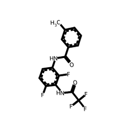 Cc1cccc(C(=O)Nc2ccc(F)c(NC(=O)C(F)(F)F)c2F)c1